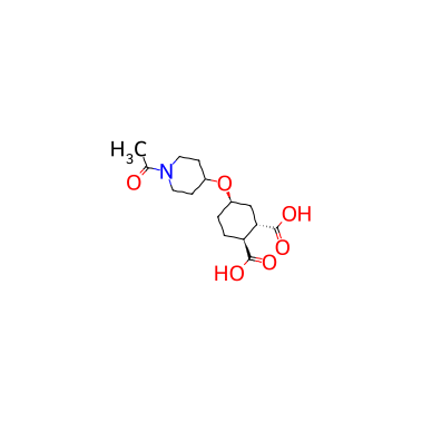 CC(=O)N1CCC(O[C@@H]2CC[C@H](C(=O)O)[C@@H](C(=O)O)C2)CC1